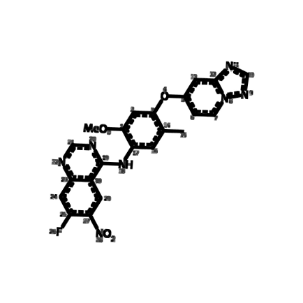 COc1cc(Oc2ccn3ncnc3c2)c(C)cc1Nc1ncnc2cc(F)c([N+](=O)[O-])cc12